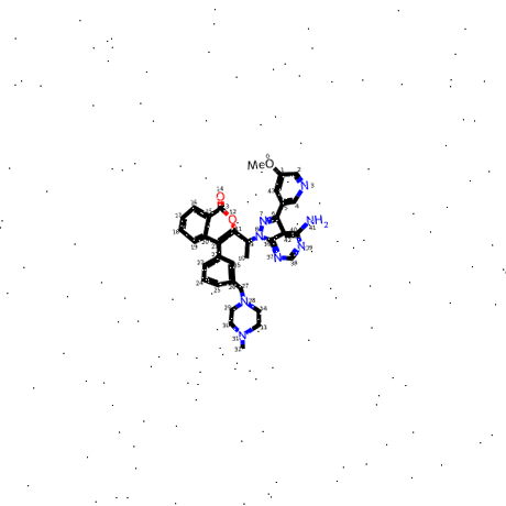 COc1cncc(-c2nn(C(C)c3oc(=O)c4ccccc4c3-c3cccc(CN4CCN(C)CC4)c3)c3ncnc(N)c23)c1